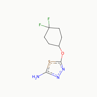 Nc1nnc(OC2CCC(F)(F)CC2)s1